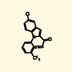 CCCCCCC(=O)c1cc2cc(Cl)ccc2n1-c1cccc(C(F)(F)F)c1